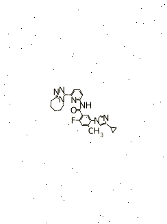 Cc1cc(F)c(C(=O)Nc2cccc(-c3nnc4n3CCCCC4)n2)cc1-n1cnc(C2CC2)c1